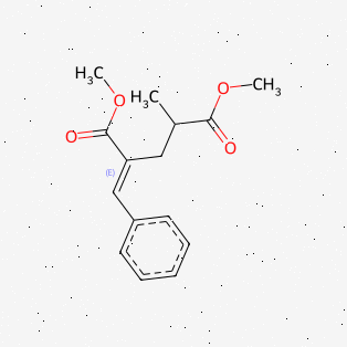 COC(=O)/C(=C/c1ccccc1)CC(C)C(=O)OC